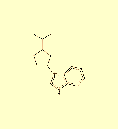 CC(C)C1CCC([n+]2c[nH]c3ccccc32)C1